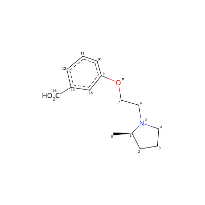 C[C@@H]1CCCN1CCOc1cccc(C(=O)O)c1